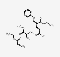 C=C(C)C(=O)OC.C=CC(=O)OCC.CCOC(=O)C(C=CC(=O)O)=COc1ccccc1